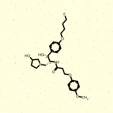 COc1ccc(OCCC(=O)N[C@H](CN2CCC(O)C2)[C@H](O)c2ccc(OCCCCF)cc2)cc1